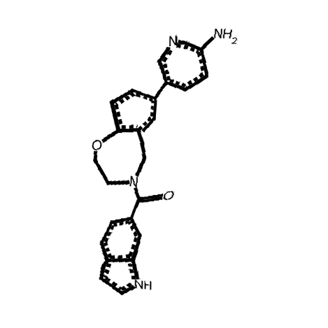 Nc1ccc(-c2ccc3c(c2)CN(C(=O)c2ccc4cc[nH]c4c2)CCO3)cn1